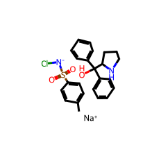 Cc1ccc(S(=O)(=O)[N-]Cl)cc1.OC(c1ccccc1)(c1ccccc1)C1CCCN1.[Na+]